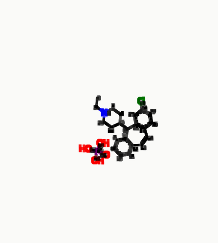 CCN1CCC(C2c3ccccc3C=Cc3ccc(Cl)cc32)CC1.O=P(O)(O)O